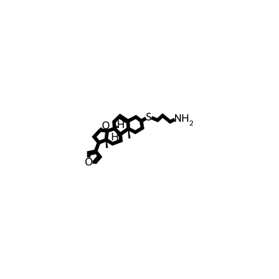 C[C@]12CCC(SCCCN)CC1=CC[C@@H]1[C@H]2CC[C@]2(C)C(c3ccoc3)CC3O[C@]312